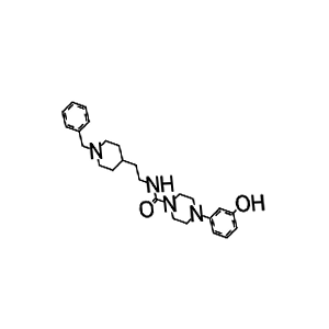 O=C(NCCC1CCN(Cc2ccccc2)CC1)N1CCN(c2cccc(O)c2)CC1